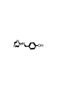 Oc1ccc(C=Nn2cncn2)cc1